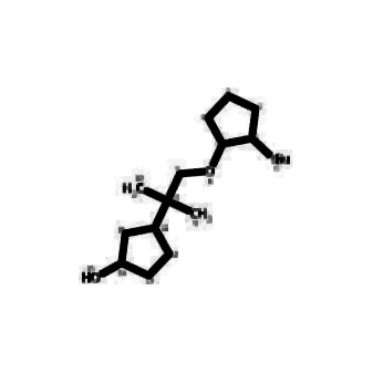 CC(C)(C)C1CCCC1OCC(C)(C)C1CCC(O)C1